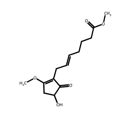 COC(=O)CCCC=CCC1=C(OC)CC(O)C1=O